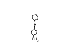 Bc1ccc(C#Cc2ccccc2)cc1